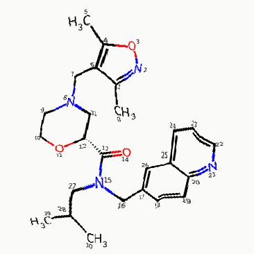 Cc1noc(C)c1CN1CCO[C@@H](C(=O)N(Cc2ccc3ncccc3c2)CC(C)C)C1